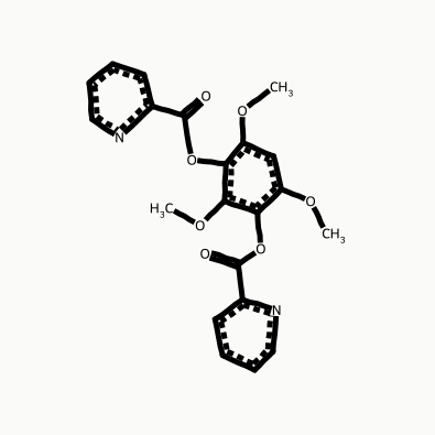 COc1cc(OC)c(OC(=O)c2ccccn2)c(OC)c1OC(=O)c1ccccn1